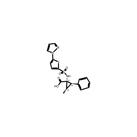 C[C@@H]1[C@H](c2ccccc2)[C@]1(NS(=O)(=O)c1ccc(-n2cccn2)s1)C(=O)O